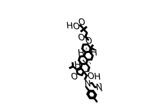 Cc1ccc(CN(CCN(C)C)C[C@H](O)[C@@]23CC[C@]4(C)[C@H](CC[C@@H]5[C@@]6(C)CC[C@H](OC(=O)CC(C)(C)C(=O)O)C(C)(C)[C@@H]6CC[C@]54C)C2=C(C(C)C)C(=O)C3)cc1